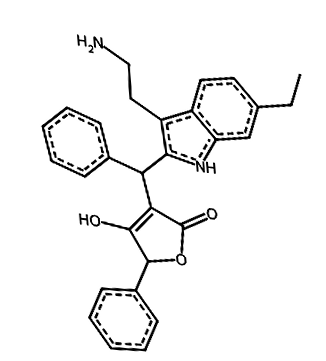 CCc1ccc2c(CCN)c(C(C3=C(O)C(c4ccccc4)OC3=O)c3ccccc3)[nH]c2c1